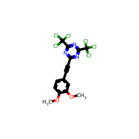 COc1ccc(C#Cc2nc(C(Cl)(Cl)Cl)nc(C(Cl)(Cl)Cl)n2)cc1OC